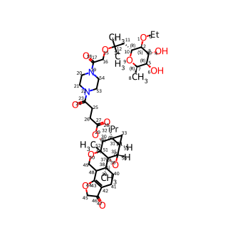 CCO[C@H]1[C@H](O)[C@@H](O)[C@@H](C)O[C@@H]1CC(C)(C)OCC(=O)N1CCN(C(=O)CCC(=O)O[C@@H]2[C@@]3(C(C)C)C[C@H]3[C@@H]3O[C@@]34[C@@]3(C)CCC5=C(OCC5=O)C3CO[C@]24C)CC1